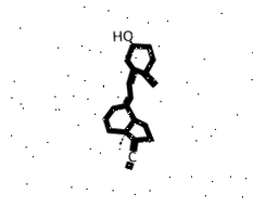 C=C=C1CCC2/C(=C/C=C3/C[C@H](O)CCC3=C)CCC[C@]12C